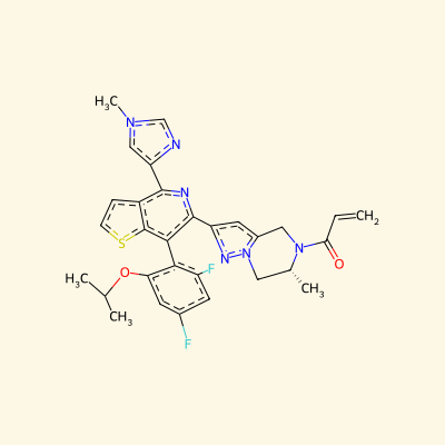 C=CC(=O)N1Cc2cc(-c3nc(-c4cn(C)cn4)c4ccsc4c3-c3c(F)cc(F)cc3OC(C)C)nn2C[C@H]1C